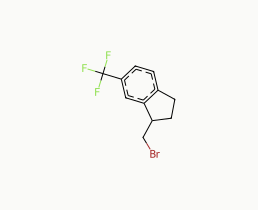 FC(F)(F)c1ccc2c(c1)C(CBr)CC2